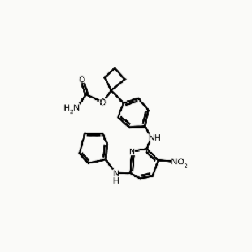 NC(=O)OC1(c2ccc(Nc3nc(Nc4ccccc4)ccc3[N+](=O)[O-])cc2)CCC1